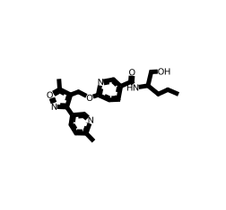 CCCC(CO)NC(=O)c1ccc(OCc2c(-c3ccc(C)nc3)noc2C)nc1